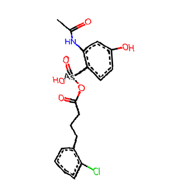 CC(=O)Nc1cc(O)ccc1[As](=O)(O)OC(=O)CCCc1ccccc1Cl